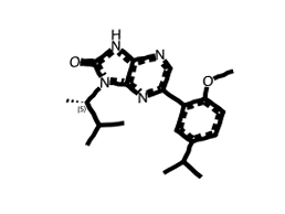 COc1ccc(C(C)C)cc1-c1cnc2[nH]c(=O)n([C@@H](C)C(C)C)c2n1